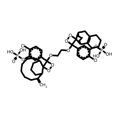 C=C1CCCCCCC2CCCC1C21OOC1(OCCOC1(c2ccc(Cl)c(OP(=O)(O)O)c2)OOC12C1CCCC2C2=C(CCCC2)C1)c1ccc(Cl)c(OP(=O)(O)O)c1